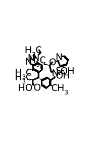 CC[C@@H]1CN(Cc2cc([C@@H](c3ccc4c(nnn4CC)c3C)[C@@H](C)C(=O)O)ccc2C)S(O)(O)c2cccnc2O1